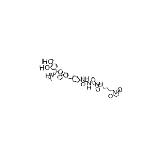 CC(C)NCC(OC(=O)OCc1ccc(NC(=O)CNC(=O)CNC(=O)CCCCCN2C(=O)CCC2=O)cc1)c1ccc(O)c(O)c1